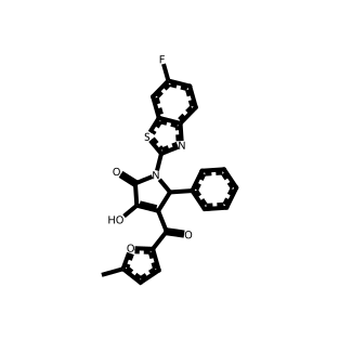 Cc1ccc(C(=O)C2=C(O)C(=O)N(c3nc4ccc(F)cc4s3)C2c2ccccc2)o1